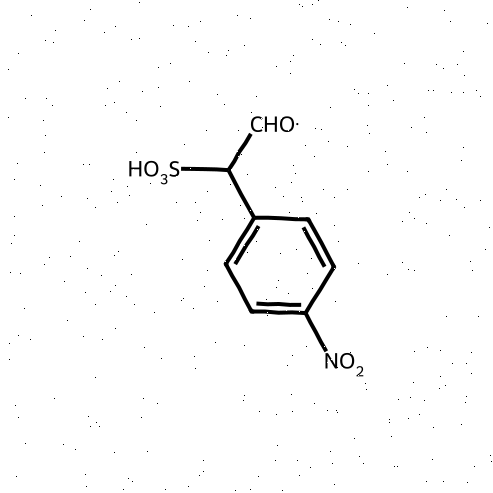 O=[C]C(c1ccc([N+](=O)[O-])cc1)S(=O)(=O)O